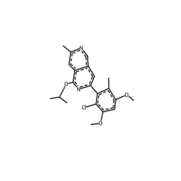 COc1cc(OC)c(Cl)c(-c2cc3cnc(C)cc3c(OC(C)C)n2)c1C